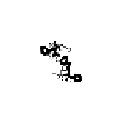 Cc1onc(-c2ccccc2)c1Cc1cc2ccc(OCC(=O)c3c(-c4ccccc4)noc3C)cc2o1